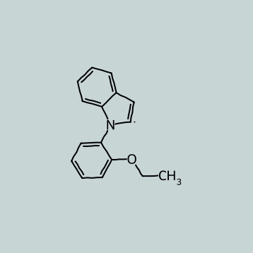 CCOc1ccccc1-n1[c]cc2ccccc21